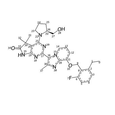 CCc1cccc(F)c1COc1cccn2c(-c3nc4c(c(N5CCC[C@H]5CO)n3)C(C)(C)C(=O)N4)c(C)nc12